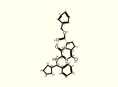 O=C(OCc1ccccc1)[C@@H]1CCc2c(Cl)nc(N[C@@H](c3ccccc3)C3CCCC3)c(=O)n21